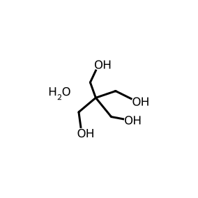 O.OCC(CO)(CO)CO